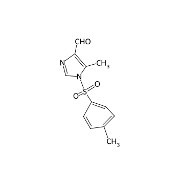 Cc1ccc(S(=O)(=O)n2cnc(C=O)c2C)cc1